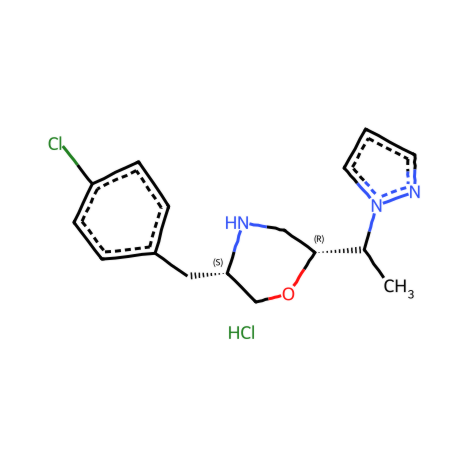 CC([C@H]1CN[C@@H](Cc2ccc(Cl)cc2)CO1)n1cccn1.Cl